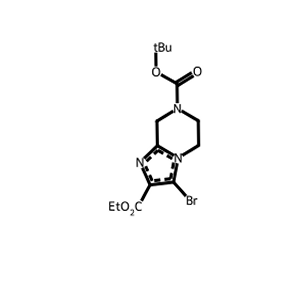 CCOC(=O)c1nc2n(c1Br)CCN(C(=O)OC(C)(C)C)C2